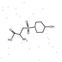 NC(CS(=O)(=O)N1CCC(O)CC1)C(=O)O